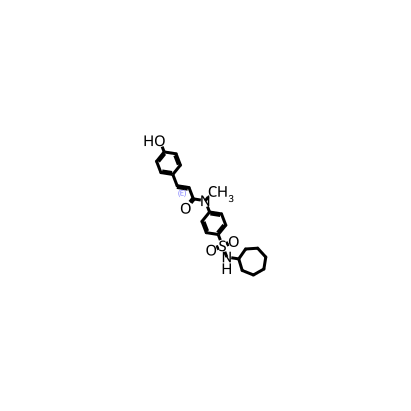 CN(C(=O)/C=C/c1ccc(O)cc1)c1ccc(S(=O)(=O)NC2CCCCCC2)cc1